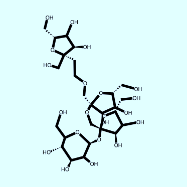 OCC1O[C@@H](O[C@]2(CO[C@@]3(COCC[C@]4(CO)O[C@H](CO)C(O)[C@H]4O)O[C@H](CO)C(O)[C@H]3O)O[C@H](CO)C(O)[C@H]2O)C(O)[C@@H](O)[C@@H]1O